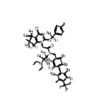 [2H]c1c([2H])c(-c2c([2H])c([2H])c(C(F)(F)F)c(C)c2[2H])c([2H])c([2H])c1CN(C(=O)Cn1c(SC([2H])([2H])c2ccc(F)cc2)nc(=O)c2c1C([2H])([2H])C([2H])(C)C2([2H])[2H])C([2H])([2H])C([2H])([2H])N(CC)CC